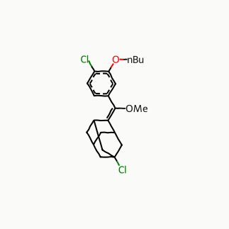 CCCCOc1cc(C(OC)=C2C3CC4CC2CC(Cl)(C4)C3)ccc1Cl